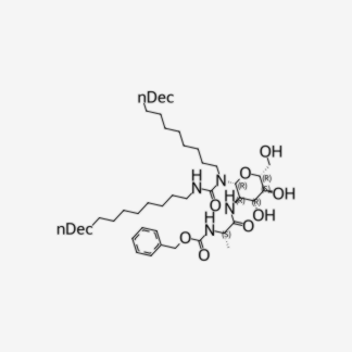 CCCCCCCCCCCCCCCCCCNC(=O)N(CCCCCCCCCCCCCCCCCC)[C@@H]1O[C@H](CO)[C@@H](O)[C@H](O)[C@H]1NC(=O)[C@H](C)NC(=O)OCc1ccccc1